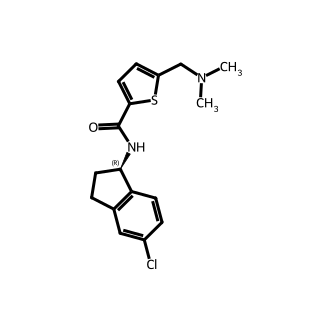 CN(C)Cc1ccc(C(=O)N[C@@H]2CCc3cc(Cl)ccc32)s1